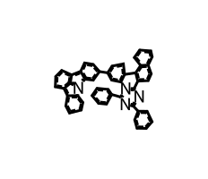 c1ccc(-c2nc(-c3ccccc3)nc(-c3ccc4ccccc4c3-c3ccc(-c4ccc5c6cccc7c8ccccc8n(c5c4)c76)cc3)n2)cc1